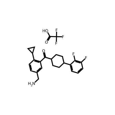 NCc1ccc(C2CC2)c(C(=O)C2CCC(c3cccc(F)c3F)CC2)c1.O=C(O)C(F)(F)F